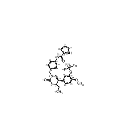 CCC1CC(=O)N(Cc2ccc(NC(=O)c3ccc[nH]3)cc2)N=C1c1ccc(OC)c(OC(F)(F)F)c1